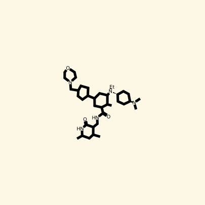 CCN(C1CC(C2CCC(CN3CCOCC3)CC2)CC(C(=O)NCC2C(=O)NC(C)CC2C)C1C)[C@H]1CC[C@H](N(C)C)CC1